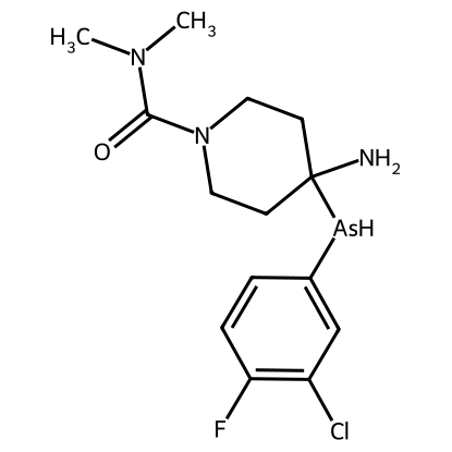 CN(C)C(=O)N1CCC(N)([AsH]c2ccc(F)c(Cl)c2)CC1